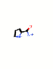 [NH]C(=O)c1ccc[nH]1